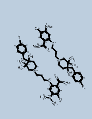 CNc1cc(OCCCN2CCC(O)(Cc3ccc(F)cc3)C(C)(C)C2)c(C(=O)OC)cc1Cl.COC(=O)c1cc(Cl)c(N(C)C)cc1OCCCN1CCC(O)(Cc2ccc(F)cc2)C(C)(C)C1